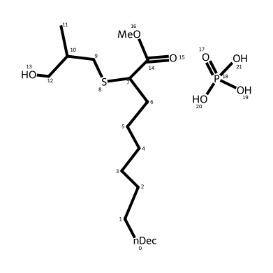 CCCCCCCCCCCCCCCCC(SCC(C)CO)C(=O)OC.O=P(O)(O)O